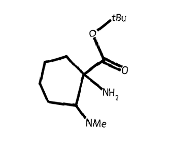 CNC1CCCCC1(N)C(=O)OC(C)(C)C